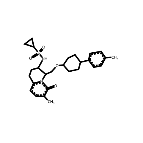 Cc1ccc(C2CCC(OCC3C(NS(=O)(=O)C4CC4)CCc4ccc(C)c(=O)n43)CC2)cc1